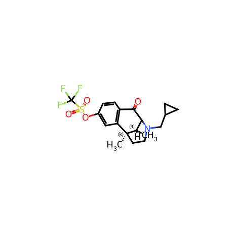 C[C@H]1C2C(=O)c3ccc(OS(=O)(=O)C(F)(F)F)cc3[C@]1(C)CCN2CC1CC1